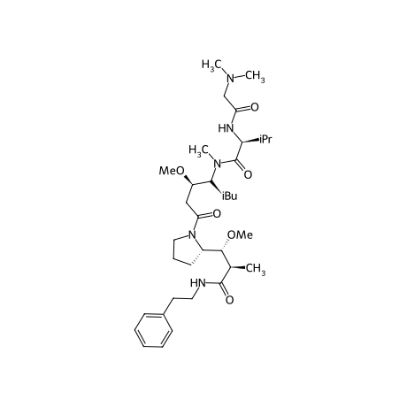 CC[C@H](C)C([C@@H](CC(=O)N1CCC[C@H]1[C@H](OC)[C@@H](C)C(=O)NCCc1ccccc1)OC)N(C)C(=O)[C@@H](NC(=O)CN(C)C)C(C)C